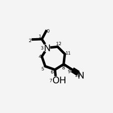 CC(C)N1CCC(O)C(C#N)CC1